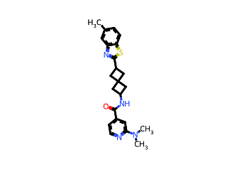 Cc1ccc2sc(C3CC4(CC(NC(=O)c5ccnc(N(C)C)c5)C4)C3)nc2c1